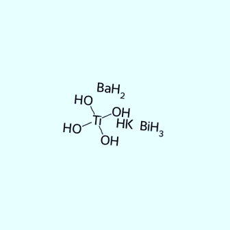 [BaH2].[BiH3].[KH].[OH][Ti]([OH])([OH])[OH]